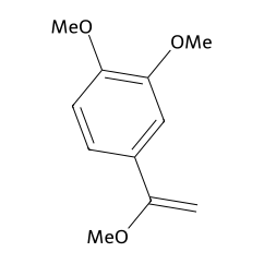 C=C(OC)c1ccc(OC)c(OC)c1